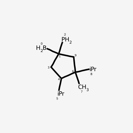 BC1(P)CC(C(C)C)C(C)(C(C)C)C1